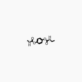 CCNC(=O)Oc1ccc(OC(=O)NC)cc1